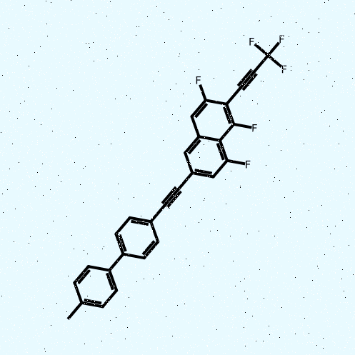 Cc1ccc(-c2ccc(C#Cc3cc(F)c4c(F)c(C#CC(F)(F)F)c(F)cc4c3)cc2)cc1